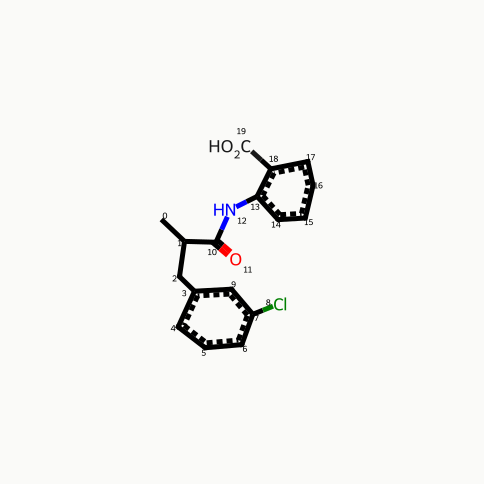 CC(Cc1cccc(Cl)c1)C(=O)Nc1ccccc1C(=O)O